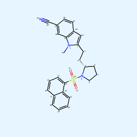 Cn1c(CC[C@@H]2CCCN2S(=O)(=O)c2cccc3ccccc23)cc2ccc(C#N)cc21